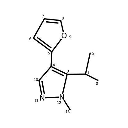 CC(C)c1c(-c2ccco2)cnn1C